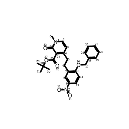 Cn1ccc(CCc2cc([N+](=O)[O-])ccc2OCc2ccccc2)c(C(=O)OC(C)(C)C)c1=O